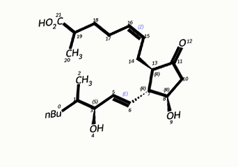 CCCCC(C)[C@H](O)/C=C/[C@H]1[C@H](O)CC(=O)[C@@H]1C/C=C\CCC(C)C(=O)O